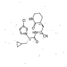 N#C[C@H](C[C@@H]1CCCNC1=O)NC(=O)[C@H](CC1CC1)n1ccc(Cl)c1